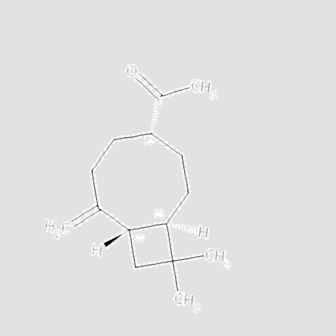 C=C1CC[C@H](C(C)=O)CC[C@@H]2[C@@H]1CC2(C)C